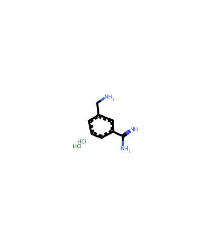 Cl.Cl.N=C(N)c1cccc(CN)c1